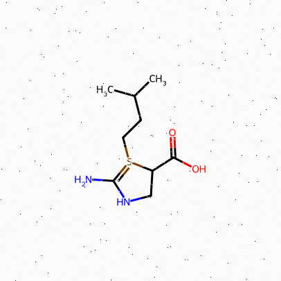 CC(C)CCS1=C(N)NCC1C(=O)O